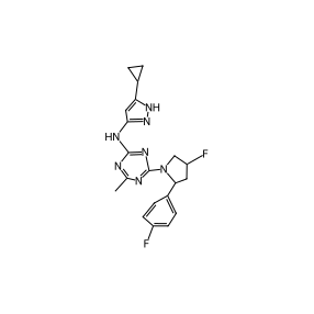 Cc1nc(Nc2cc(C3CC3)[nH]n2)nc(N2CC(F)CC2c2ccc(F)cc2)n1